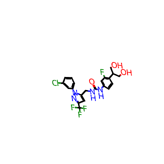 O=C(NCc1cc(C(F)(F)F)nn1-c1cccc(Cl)c1)Nc1ccc(C(CO)CO)c(F)c1